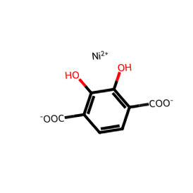 O=C([O-])c1ccc(C(=O)[O-])c(O)c1O.[Ni+2]